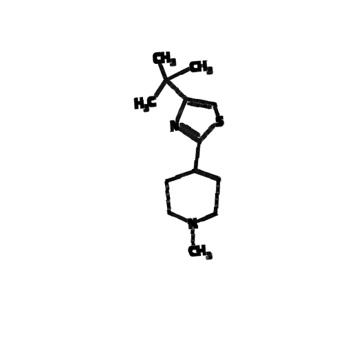 CN1CCC(c2nc(C(C)(C)C)cs2)CC1